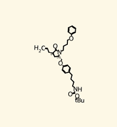 C=CC[C@@H]1C[C@@H](COc2ccc(CCCCNC(=O)OC(C)(C)C)cc2)N(CCCCOc2ccccc2)C1=O